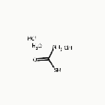 Cl.Cl.NC(=O)S.O